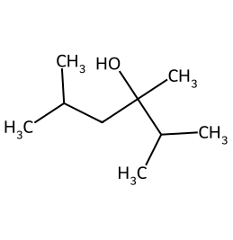 CC(C)CC(C)(O)C(C)C